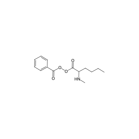 CCCCC(NC)C(=O)OOC(=O)c1ccccc1